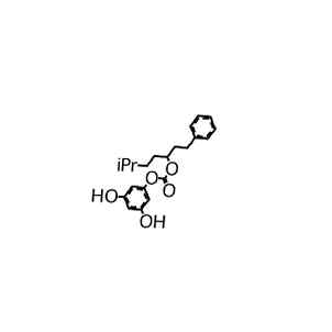 CC(C)CCC(CCc1ccccc1)OC(=O)Oc1cc(O)cc(O)c1